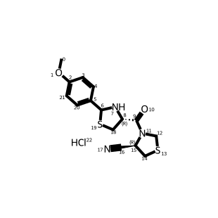 COc1ccc(C2N[C@H](C(=O)N3CSC[C@H]3C#N)CS2)cc1.Cl